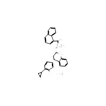 C[C@@H](NC[C@H]1C[C@@H](c2ccc(C3CC3)c(C(=O)O)c2)c2ccccc2O1)c1cccc2ccccc12